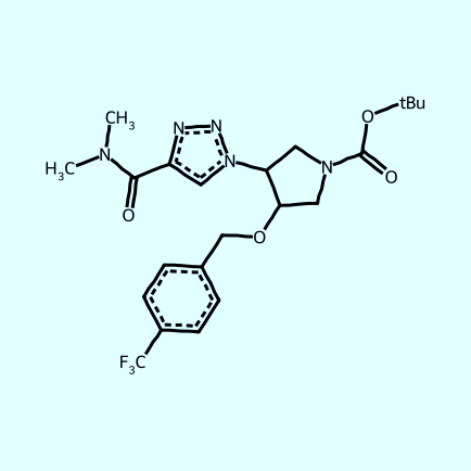 CN(C)C(=O)c1cn(C2CN(C(=O)OC(C)(C)C)CC2OCc2ccc(C(F)(F)F)cc2)nn1